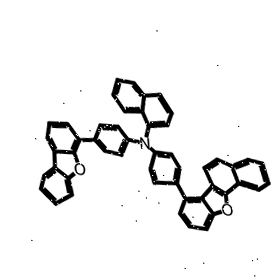 c1ccc2c(N(c3ccc(-c4cccc5c4oc4ccccc45)cc3)c3ccc(-c4cccc5oc6c7ccccc7ccc6c45)cc3)cccc2c1